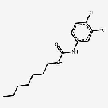 CCCCCCCNC(=O)Nc1ccc(Cl)c(Cl)c1